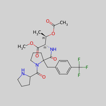 COC(=O)[C@@H](NC(=O)C1(Cc2ccc(C(F)(F)F)cc2)CCCN1C(=O)C1CCCN1)[C@@H](C)OC(C)=O